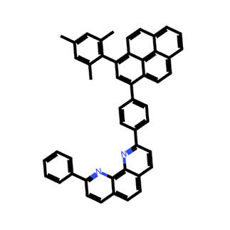 Cc1cc(C)c(-c2cc(-c3ccc(-c4ccc5ccc6ccc(-c7ccccc7)nc6c5n4)cc3)c3ccc4cccc5ccc2c3c45)c(C)c1